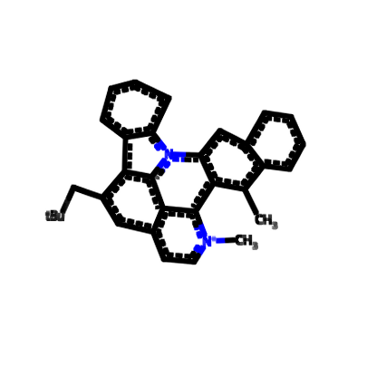 Cc1c2ccccc2cc2c1c1c3c(cc[n+]1C)cc(CC(C)(C)C)c1c4ccccc4n2c13